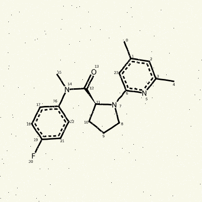 Cc1cc(C)nc(N2CCC[C@H]2C(=O)N(C)c2ccc(F)cc2)c1